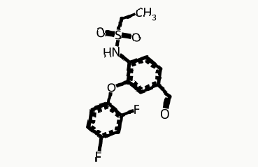 CCS(=O)(=O)Nc1ccc(C=O)cc1Oc1ccc(F)cc1F